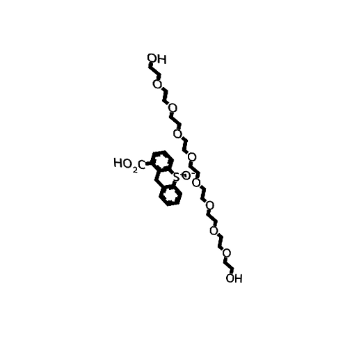 O=C(O)c1cccc2c1Cc1ccccc1[S+]2[O-].OCCOCCOCCOCCOCCOCCOCCOCCOCCO